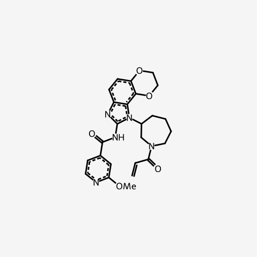 C=CC(=O)N1CCCCC(n2c(NC(=O)c3ccnc(OC)c3)nc3ccc4c(c32)OCCO4)C1